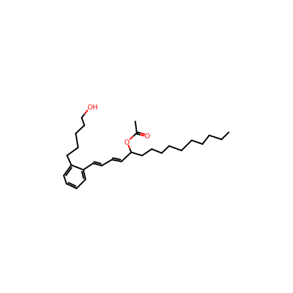 CCCCCCCCCCC(/C=C/C=C/c1ccccc1CCCCCO)OC(C)=O